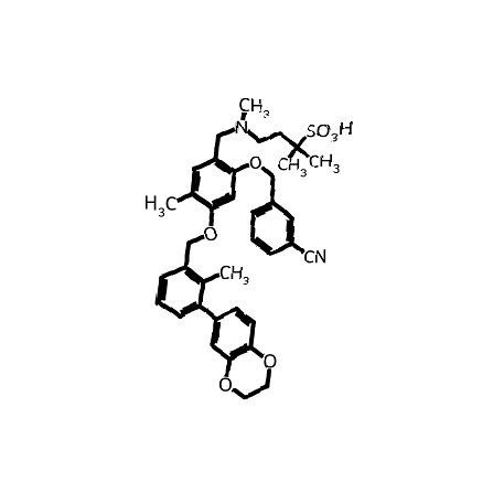 Cc1cc(CN(C)CCC(C)(C)S(=O)(=O)O)c(OCc2cccc(C#N)c2)cc1OCc1cccc(-c2ccc3c(c2)OCCO3)c1C